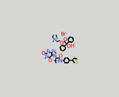 CCC(C(=O)Nc1ccc(-c2ccsc2)cc1)n1cnc2c1c(=O)n(C)c(=O)n2C.CC[N+](C)(CC)CCOC(=O)C(O)(c1ccccc1)c1ccccc1.[Br-]